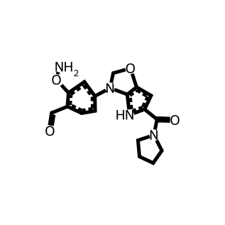 NOc1cc(N2COc3cc(C(=O)N4CCCC4)[nH]c32)ccc1C=O